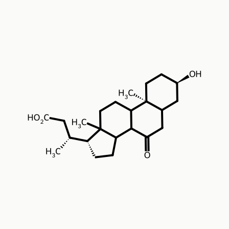 C[C@H](CC(=O)O)[C@H]1CCC2C3C(=O)CC4C[C@H](O)CC[C@]4(C)C3CCC21C